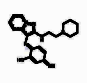 N=C1C=C/C(=N\c2c(NCCN3CCCCC3)nn3ccccc23)C(O)=C1